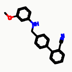 COc1cccc(NCc2ccc(-c3ccccc3C#N)cc2)c1